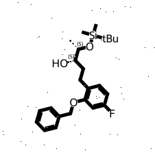 C[C@H](O[Si](C)(C)C(C)(C)C)[C@@H](O)CCc1ccc(F)cc1OCc1ccccc1